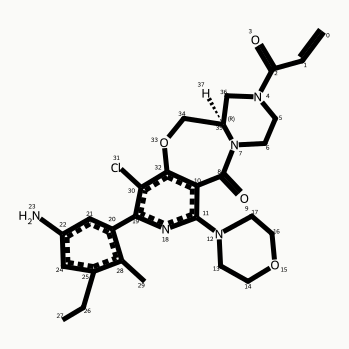 C=CC(=O)N1CCN2C(=O)c3c(N4CCOCC4)nc(-c4cc(N)cc(CC)c4C)c(Cl)c3OC[C@H]2C1